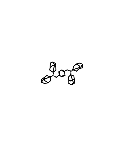 c1cc(CP(C23CC4CC(CC(C4)C2)C3)C23CC4CC(CC(C4)C2)C3)ccc1CP(C12CC3CC(CC(C3)C1)C2)C12CC3CC(CC(C3)C1)C2